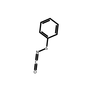 O=C=NSc1ccccc1